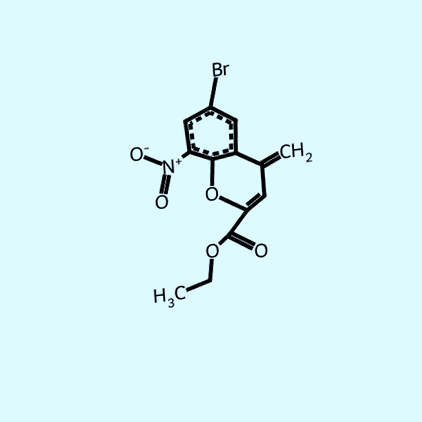 C=C1C=C(C(=O)OCC)Oc2c1cc(Br)cc2[N+](=O)[O-]